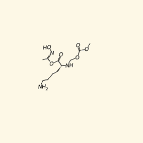 COC(=O)OCN[C@@H](CCCCN)C(=O)OC(C)=NO